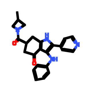 CC1CN(C(=O)C2CC(=O)c3c([nH]c(-c4ccncc4)c3Nc3ccccc3)C2)C1